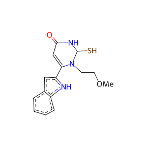 COCCN1C(c2cc3ccccc3[nH]2)=CC(=O)NC1S